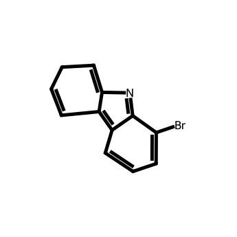 Brc1cccc2c1=NC1=CCC=CC=21